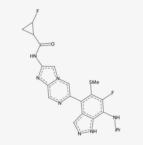 CSc1c(F)c(NC(C)C)c2[nH]ncc2c1-c1cn2cc(NC(=O)C3CC3F)nc2cn1